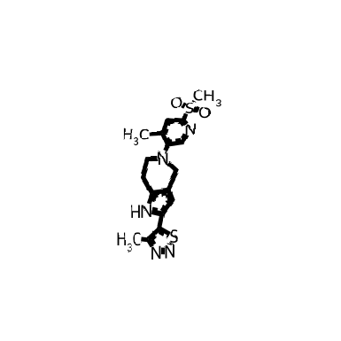 Cc1cc(S(C)(=O)=O)ncc1N1CCc2[nH]c(-c3snnc3C)cc2C1